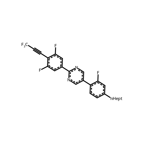 CCCCCCCc1ccc(-c2cnc(-c3cc(F)c(C#CC(F)(F)F)c(F)c3)nc2)c(F)c1